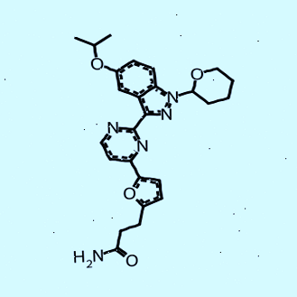 CC(C)Oc1ccc2c(c1)c(-c1nccc(-c3ccc(CCC(N)=O)o3)n1)nn2C1CCCCO1